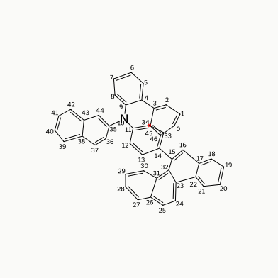 c1ccc(-c2ccccc2N(c2ccc(-c3cc4ccccc4c4ccc5ccccc5c34)cc2)c2ccc3ccccc3c2)cc1